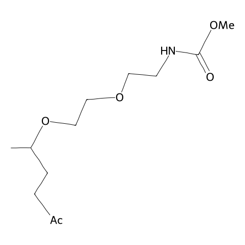 COC(=O)NCCOCCOC(C)CCC(C)=O